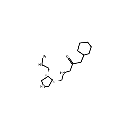 CC(C)NC[C@H]1CNC[C@H]1CNCC(=O)CC1CCCCC1